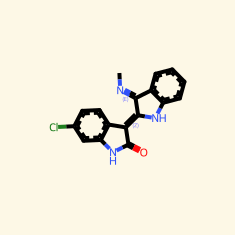 C/N=C1/C(=C2/C(=O)Nc3cc(Cl)ccc32)Nc2ccccc21